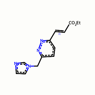 CCOC(=O)/C=C/c1ccc(Cn2ccnc2)nn1